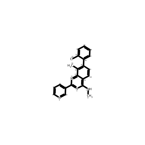 CNc1nc(-c2cccnc2)nc2c(C)c(-c3ccccc3Cl)ccc12